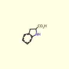 O=C(O)C1[C]c2ccccc2N1